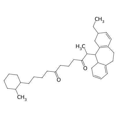 CCC1C=CC2=C(C1)C(C(C)C(=O)CCCC(=O)CCCCC1CCCCC1C)C1CC=CC=C1CC2